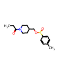 CCC(=O)N1CCC(COS(=O)c2ccc(C)cc2)CC1